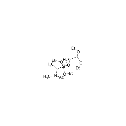 CCOC(OCC)[SiH2]O[Si](OCC)(OCC)C(C)N(C)C(C)=O